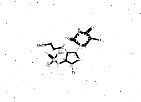 CC[C@H]1O[C@@H](n2cc(C)c(=O)[nH]c2=O)[C@@H](OCCOC)C1OP(O)(=S)OC